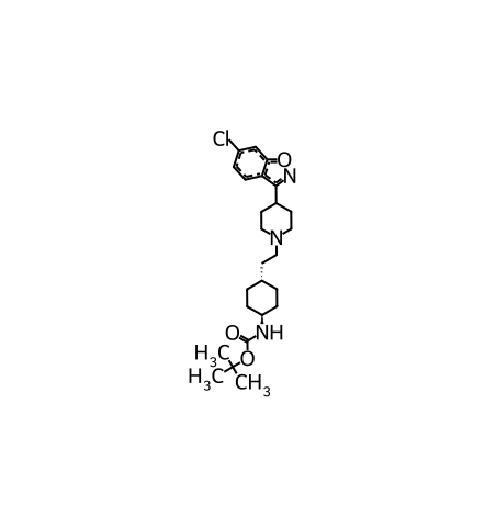 CC(C)(C)OC(=O)N[C@H]1CC[C@H](CCN2CCC(c3noc4cc(Cl)ccc34)CC2)CC1